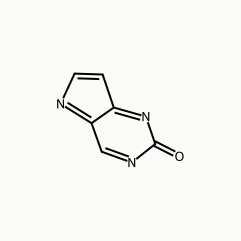 O=C1N=CC2=NC=CC2=N1